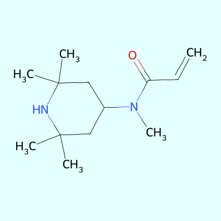 C=CC(=O)N(C)C1CC(C)(C)NC(C)(C)C1